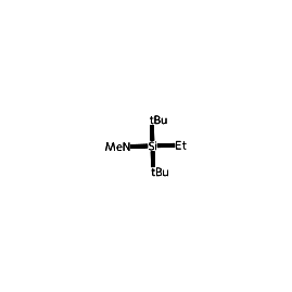 CC[Si](NC)(C(C)(C)C)C(C)(C)C